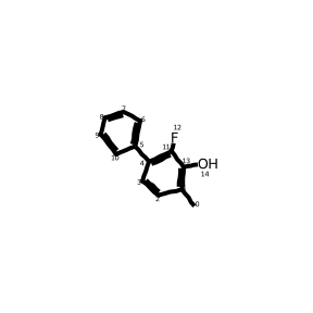 Cc1ccc(-c2ccccc2)c(F)c1O